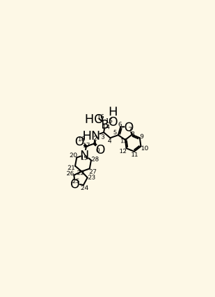 O=C(NC(Cc1coc2ccccc12)B(O)O)C(=O)N1CCC2(CCOC2)CC1